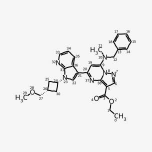 CCOC(=O)c1cnn2c(N(C)Cc3ccccc3)cc(-c3cn([C@H]4C[C@@H](COC)C4)c4ncccc34)nc12